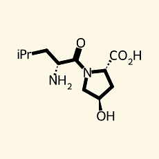 CC(C)C[C@@H](N)C(=O)N1C[C@H](O)C[C@H]1C(=O)O